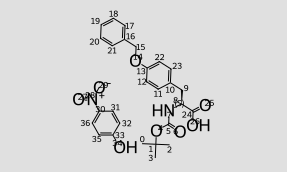 CC(C)(C)OC(=O)N[C@@H](Cc1ccc(OCc2ccccc2)cc1)C(=O)O.O=[N+]([O-])c1ccc(O)cc1